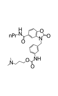 CCCNC(=O)c1ccc2oc(=O)n(Cc3cccc(NC(=O)OCCCN(C)C)c3)c2c1